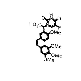 COc1ccc(/C=C\c2cc(OC)c(OC)c(OC)c2)cc1C(C(=O)O)n1cc(F)c(=O)[nH]c1=O